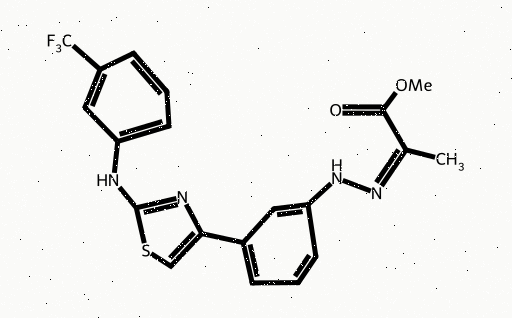 COC(=O)C(C)=NNc1cccc(-c2csc(Nc3cccc(C(F)(F)F)c3)n2)c1